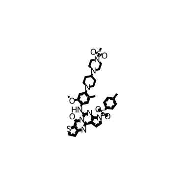 COc1cc(N2CCC(N3CCN(S(C)(=O)=O)CC3)CC2)c(C)cc1Nc1nc2c(ccn2S(=O)(=O)c2ccc(C)cc2)c2nc3ccsc3c(=O)n12